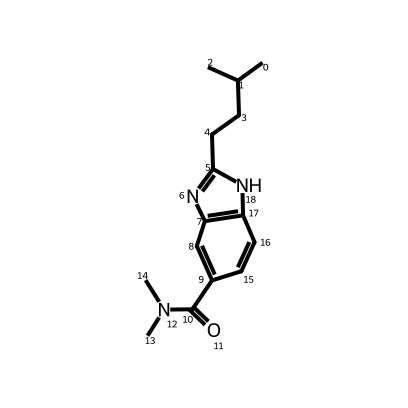 CC(C)CCc1nc2cc(C(=O)N(C)C)ccc2[nH]1